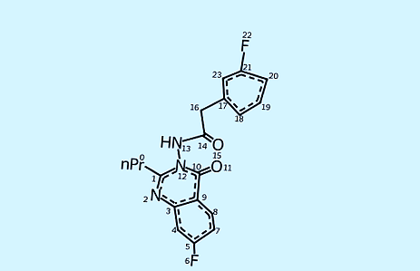 CCCc1nc2cc(F)ccc2c(=O)n1NC(=O)Cc1cccc(F)c1